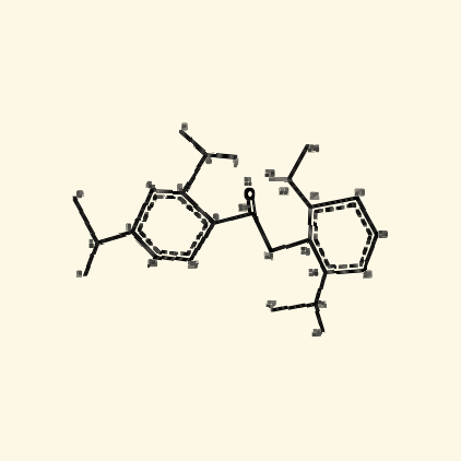 CC(C)c1[c]c(C(C)C)c(C(=O)Cc2c(C(C)C)cccc2C(C)C)cc1